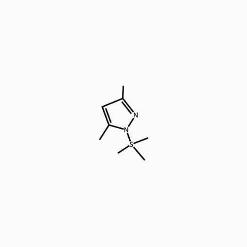 Cc1cc(C)n(S(C)(C)C)n1